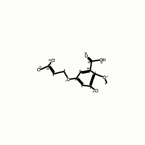 COc1c(Cl)cc(OCC=C(Cl)Cl)cc1C(=O)O